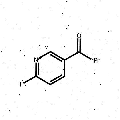 CC(C)C(=O)c1ccc(F)nc1